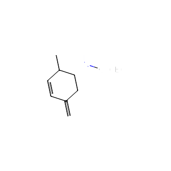 C=C1C=CC(C)[C@H](NC(=O)OCC)C1